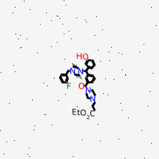 CCOC(=O)CCCN1CCN(C(=O)c2cccc(C(c3cccc(O)c3)N3C[C@@H](C)N(Cc4cccc(F)c4)C[C@H]3C)c2)CC1